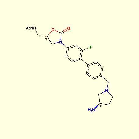 CC(=O)NC[C@H]1CN(c2ccc(-c3ccc(CN4CC[C@@H](N)C4)cc3)c(F)c2)C(=O)O1